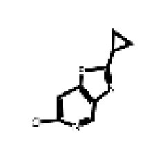 Clc1cc2sc(C3CC3)nc2cn1